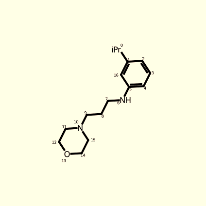 CC(C)c1cccc(NCCCN2CCOCC2)c1